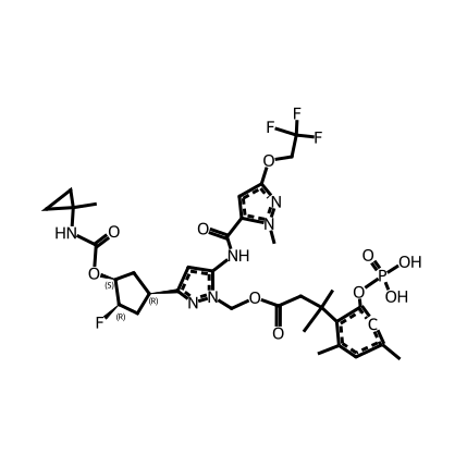 Cc1cc(C)c(C(C)(C)CC(=O)OCn2nc([C@H]3C[C@@H](F)[C@@H](OC(=O)NC4(C)CC4)C3)cc2NC(=O)c2cc(OCC(F)(F)F)nn2C)c(OP(=O)(O)O)c1